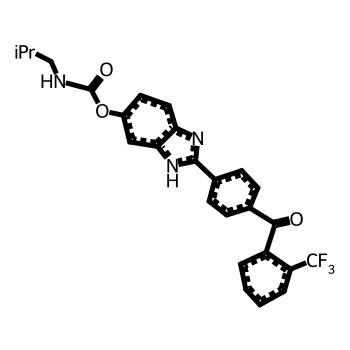 CC(C)CNC(=O)Oc1ccc2nc(-c3ccc(C(=O)c4ccccc4C(F)(F)F)cc3)[nH]c2c1